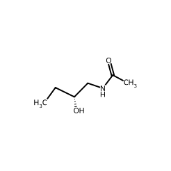 CC[C@@H](O)CNC(C)=O